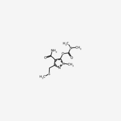 CSCc1nn(C)c(OC(=O)N(C)C)c1C(N)=O